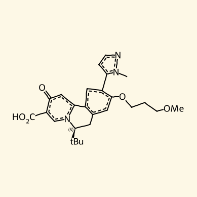 COCCCOc1cc2c(cc1-c1ccnn1C)-c1cc(=O)c(C(=O)O)cn1[C@H](C(C)(C)C)C2